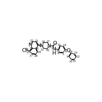 O=C(Nc1ccc(Oc2ccccc2)cc1)N1CCN(c2ccnc3c(Cl)cccc23)CC1